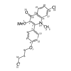 COc1c(-c2ccc(OCCCCl)cc2)n(C)c2cc(Cl)ccc2c1=O